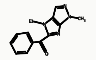 CCn1c(C(=O)c2ccccc2)nc2c1cnn2C